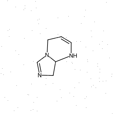 C1=CNC2CN=CN2C1